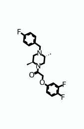 C[C@@H]1CN(C(=O)COc2ccc(F)c(F)c2)[C@@H](C)CN1Cc1ccc(F)cc1